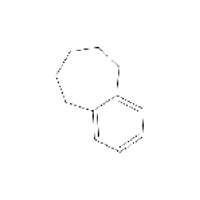 [CH]1CCc2ccccc2CC1